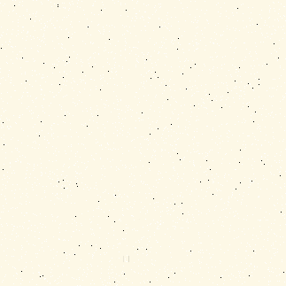 CCCCCc1ccc(C(=O)OC)c(Br)c1